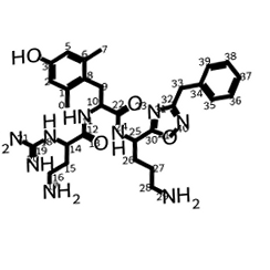 Cc1cc(O)cc(C)c1CC(NC(=O)C(CCN)NC(=N)N)C(=O)NC(CCCN)c1nc(Cc2ccccc2)no1